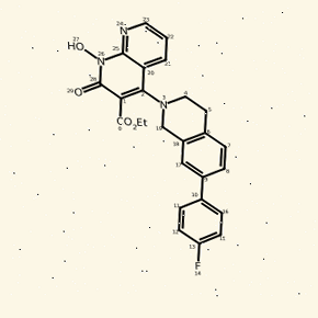 CCOC(=O)c1c(N2CCc3ccc(-c4ccc(F)cc4)cc3C2)c2cccnc2n(O)c1=O